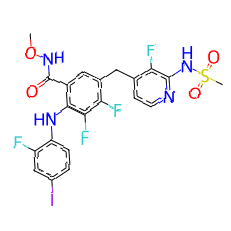 CONC(=O)c1cc(Cc2ccnc(NS(C)(=O)=O)c2F)c(F)c(F)c1Nc1ccc(I)cc1F